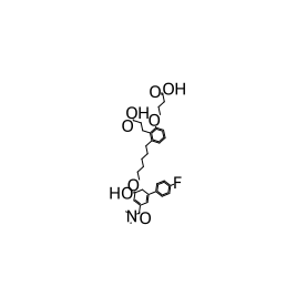 CN(C)C(=O)C1=CC(O)(OCCCCCCc2cccc(OCCCC(=O)O)c2CCC(=O)O)CC(c2ccc(F)cc2)=C1